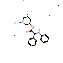 CN1CCCC(OC(=O)C(Nc2ccccc2)c2ccccc2)C1